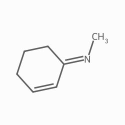 C/N=C1/C=CCCC1